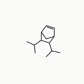 CC(C)[C]1C2C=CC(C2)C1C(C)C